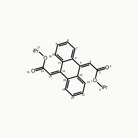 CC(C)OC(=O)C=c1c2ccccc2c(=CC(=O)OC(C)C)c2ccccc12